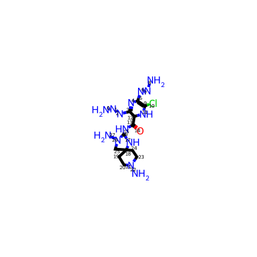 NN=NC1=NC(N=NN)=C(Cl)NC1C(=O)NC1NC2(CCN(N)CC2)CN1N